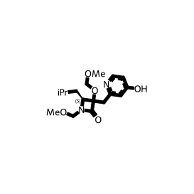 COCOC1(Cc2cc(O)ccn2)C(=O)N(COC)[C@H]1CC(C)C